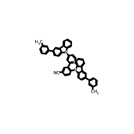 Cc1cccc(-c2ccc3c(c2)c2ccccc2n3-c2ccnc(-c3cc(C#N)ccc3-n3c4ccccc4c4cc(-c5cccc(C)c5)ccc43)c2)c1